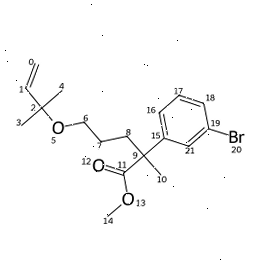 C=CC(C)(C)OCCCC(C)(C(=O)OC)c1cccc(Br)c1